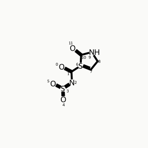 O=C(N=S(=O)=O)S1=CCNC1=O